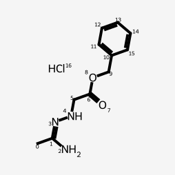 CC(N)=NNCC(=O)OCc1ccccc1.Cl